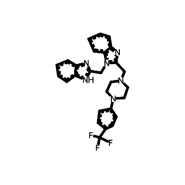 FC(F)(F)c1ccc(N2CCN(Cc3nc4ccccc4n3Cc3nc4ccccc4[nH]3)CC2)cc1